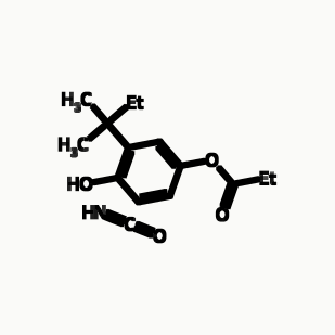 CCC(=O)Oc1ccc(O)c(C(C)(C)CC)c1.N=C=O